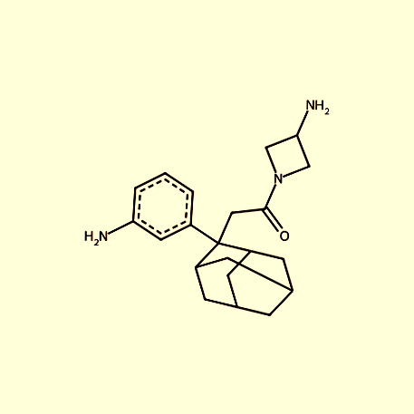 Nc1cccc(C2(CC(=O)N3CC(N)C3)C3CC4CC(C3)CC2C4)c1